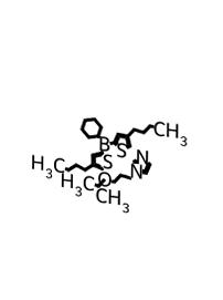 CC(C)OCCCn1ccnc1.CCCCc1csc(B(c2cc(CCCC)cs2)C2CCCCC2)c1